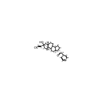 C[C@]12CCC3C(CC[C@@H]4C[C@@](O)(C#CCl)CC[C@H]34)C1CC[C@@H]2C(=O)CN1C=C=NC=C1